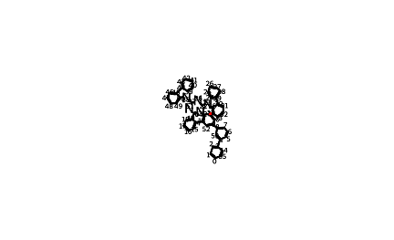 c1ccc(-c2cccc(-c3cccc(-c4ccccc4-c4nc(-n5c6ccccc6c6ccccc65)nc(-n5c6ccccc6c6ccccc65)n4)c3)c2)cc1